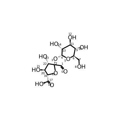 O=C[C@@]1(O[C@H]2O[C@H](CO)[C@@H](O)[C@H](O)[C@H]2O)O[C@H](C(=O)O)[C@@H](O)[C@@H]1O